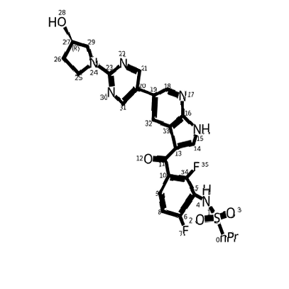 CCCS(=O)(=O)Nc1c(F)ccc(C(=O)c2c[nH]c3ncc(-c4cnc(N5CC[C@@H](O)C5)nc4)cc23)c1F